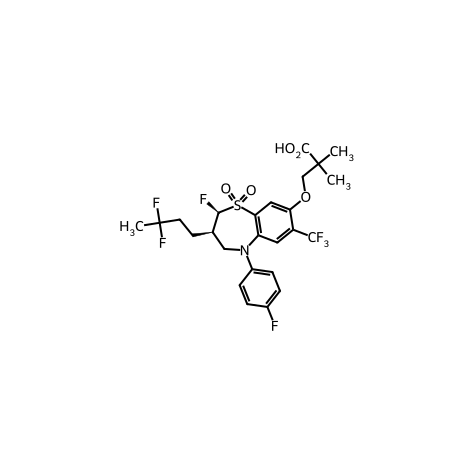 CC(F)(F)CC[C@@H]1CN(c2ccc(F)cc2)c2cc(C(F)(F)F)c(OCC(C)(C)C(=O)O)cc2S(=O)(=O)[C@@H]1F